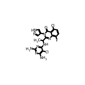 CC(Nc1nc(N)nc(N)c1Cl)c1nc2c(F)ccc(Cl)c2c(=O)n1-c1cn[nH]c1